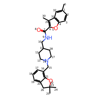 Cc1ccc2oc(C(=O)NCC3CCN(Cc4cccc5c4OC(C)(C)C5)CC3)c(C)c2c1